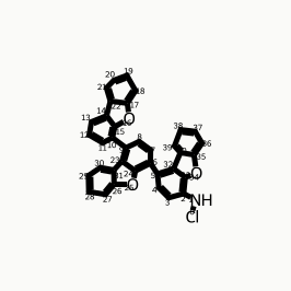 ClNc1ccc(-c2ccc(-c3cccc4c3oc3ccccc34)c3c2oc2ccccc23)c2c1oc1ccccc12